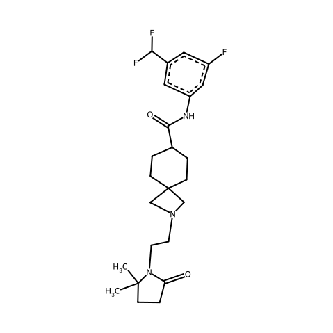 CC1(C)CCC(=O)N1CCN1CC2(CCC(C(=O)Nc3cc(F)cc(C(F)F)c3)CC2)C1